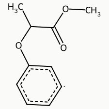 COC(=O)C(C)Oc1c[c]ccc1